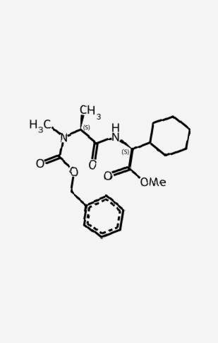 COC(=O)[C@@H](NC(=O)[C@H](C)N(C)C(=O)OCc1ccccc1)C1CCCCC1